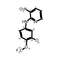 O=[N+]([O-])c1cccnc1Nc1ccc(OC(F)(F)F)c(Cl)c1